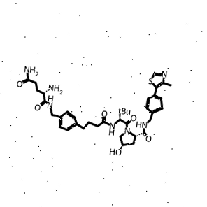 Cc1ncsc1-c1ccc(CNC(=O)[C@@H]2C[C@@H](O)CN2C(=O)[C@@H](NC(=O)CCCc2ccc(CNC(=O)[C@@H](N)CCC(N)=O)cc2)C(C)(C)C)cc1